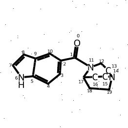 O=C(c1ccc2[nH]ccc2c1)N1CCN2CCC1CC2